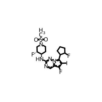 CS(=O)(=O)N1CC[C@@H](Nc2ncc3c(F)c(I)c(C4CCCC4F)n3n2)[C@H](F)C1